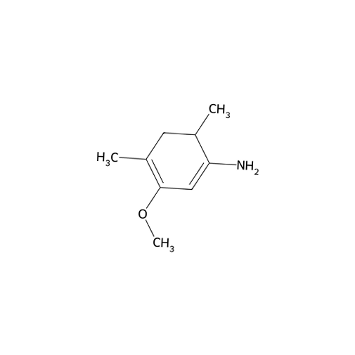 COC1=C(C)CC(C)C(N)=C1